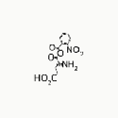 N[C@@H](CCC(=O)O)C(=O)OC(=O)c1ccccc1[N+](=O)[O-]